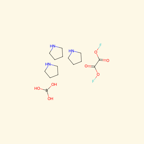 C1CCNC1.C1CCNC1.C1CCNC1.O=C(OF)C(=O)OF.OB(O)O